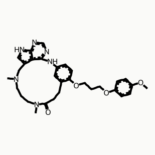 COc1ccc(OCCCOc2ccc3cc2CCC(=O)N(C)CCCN(C)Cc2c[nH]c4ncnc(c24)N3)cc1